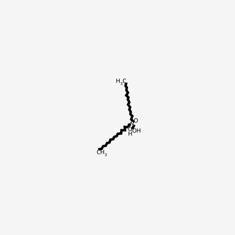 CCCCCCCCCCCCCCCCCC(=O)N(CCO)CC(O)CCCCCCCCCCCCCCCC